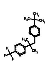 CC(C)(C)c1ccc(CC(C)(C)c2ccc(C(F)(F)F)nc2)nc1